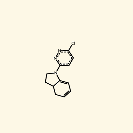 Clc1ccc(N2CCC3CC=CC=C32)nn1